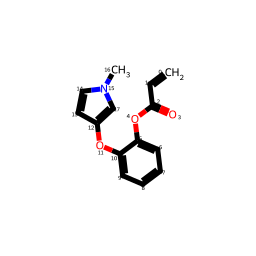 C=CC(=O)Oc1ccccc1Oc1ccn(C)c1